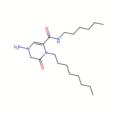 CCCCCCCCN1C(=O)CN(N)C=C1C(=O)NCCCCCC